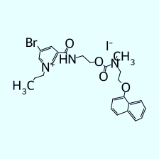 CCC[n+]1cc(Br)cc(C(=O)NCCOC(=O)N(C)CCOc2cccc3ccccc23)c1.[I-]